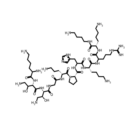 N=C(N)NCCCC(NC(=O)[C@H](CCCCN)NC(=O)C(Cc1cnc[nH]1)NC(=O)[C@@H]1CCCN1C(=O)[C@@H](CCCN)NC(=O)CNC(=O)[C@@H](NC(=O)[C@@H](NC(=O)C(N)CCCCN)C(O)CN)[C@@H](O)CN)C(=O)N[C@@H](CCCCN)C(=O)NCCCCN